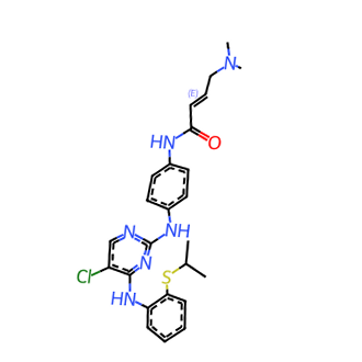 CC(C)Sc1ccccc1Nc1nc(Nc2ccc(NC(=O)/C=C/CN(C)C)cc2)ncc1Cl